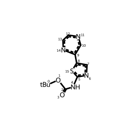 CC(C)(C)OC(=O)Nc1ncc(-c2cnccn2)s1